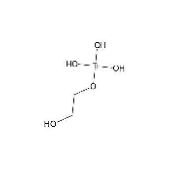 OCC[O][Ti]([OH])([OH])[OH]